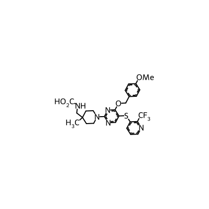 COc1ccc(COc2nc(N3CCC(C)(CNC(=O)O)CC3)ncc2Sc2cccnc2C(F)(F)F)cc1